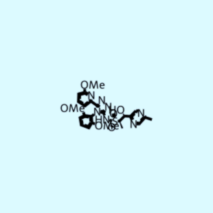 COc1cccc(-c2nnc(NS(=O)(=O)[C@H](C)[C@H](O)c3cnc(C)cn3)n2-c2c(OC)cccc2OC)n1